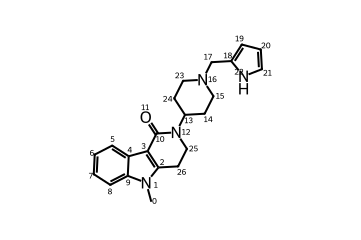 Cn1c2c(c3ccccc31)C(=O)N(C1CCN(Cc3ccc[nH]3)CC1)CC2